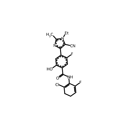 CCn1c(C)nc(-c2cc(O)c(C(=O)NC3=C(Cl)CCC=C3F)cc2F)c1C#N